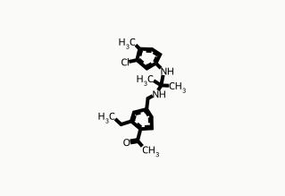 CCc1cc(CNC(C)(C)Nc2ccc(C)c(Cl)c2)ccc1C(C)=O